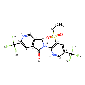 CCS(=O)(=O)c1cc(C(F)(F)F)cnc1N1Cc2cnc(C(F)(F)F)cc2C1=O